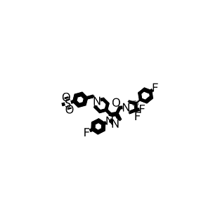 CS(=O)(=O)c1ccc(CN2CCC(c3c(C(=O)N4C[C@@H](C5C=CC(F)=CC5)C(F)(F)C4)cnn3-c3ccc(F)cc3)CC2)cc1